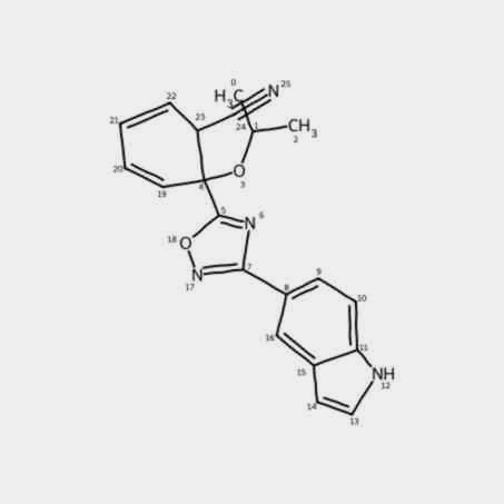 CC(C)OC1(c2nc(-c3ccc4[nH]ccc4c3)no2)C=CC=CC1C#N